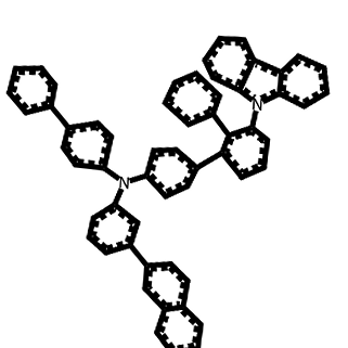 c1ccc(-c2ccc(N(c3ccc(-c4cccc(-n5c6ccccc6c6ccccc65)c4-c4ccccc4)cc3)c3cccc(-c4ccc5ccccc5c4)c3)cc2)cc1